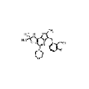 Cc1nc2c(NC(C)(C)C)cc(N3CCOCC3)nn2c1Cc1cccc(F)c1CO